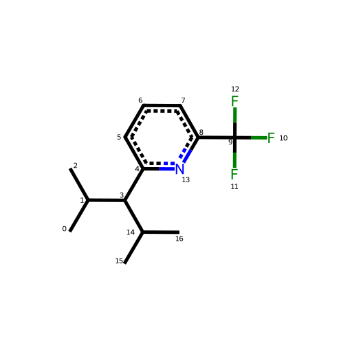 CC(C)C(c1cccc(C(F)(F)F)n1)C(C)C